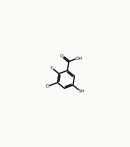 O=C(O)c1cc(S)cc(Cl)c1F